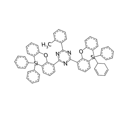 Cc1ccccc1-c1nc(-c2cccc3c2Oc2ccccc2[Si]3(c2ccccc2)c2ccccc2)nc(-c2cccc3c2Oc2ccccc2[Si]3(c2ccccc2)C2C=CC=CC2)n1